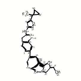 O=C(Cc1ccc(-c2cnc3nn4c(c3c2)OC(CO)C4)cc1F)Nc1cc(C2(C(F)(F)F)CC2)on1